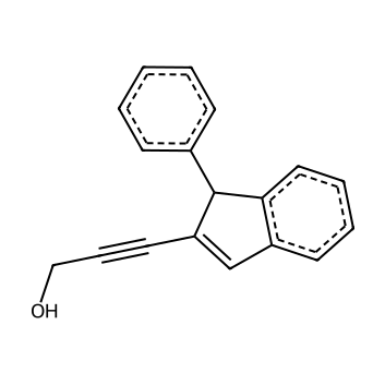 OCC#CC1=Cc2ccccc2C1c1ccccc1